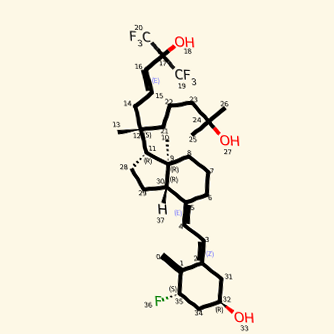 C=C1/C(=C\C=C2/CCC[C@]3(C)[C@@H]([C@](C)(C/C=C/C(O)(C(F)(F)F)C(F)(F)F)CCCC(C)(C)O)CC[C@@H]23)C[C@@H](O)C[C@@H]1F